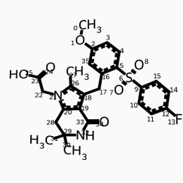 COc1ccc(S(=O)(=O)c2ccc(F)cc2)c(Cc2c3c(n(CC(=O)O)c2C)CC(C)(C)NC3=O)c1